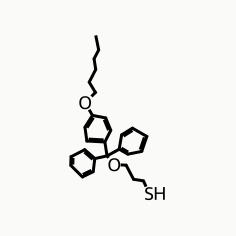 CCCCCCOc1ccc(C(OCCCS)(c2ccccc2)c2ccccc2)cc1